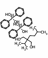 CC(C)CCC(CO)(CO)C(C)C.O[PH](O)(c1ccccc1)c1ccccc1.O[PH](O)(c1ccccc1)c1ccccc1